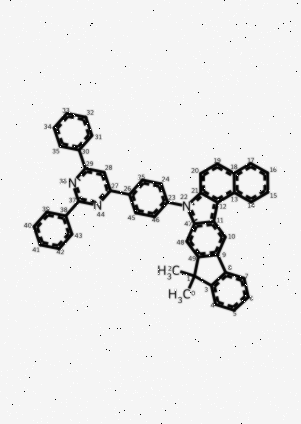 CC1(C)c2ccccc2-c2cc3c4c5ccccc5ccc4n(-c4ccc(-c5cc(-c6ccccc6)nc(-c6ccccc6)n5)cc4)c3cc21